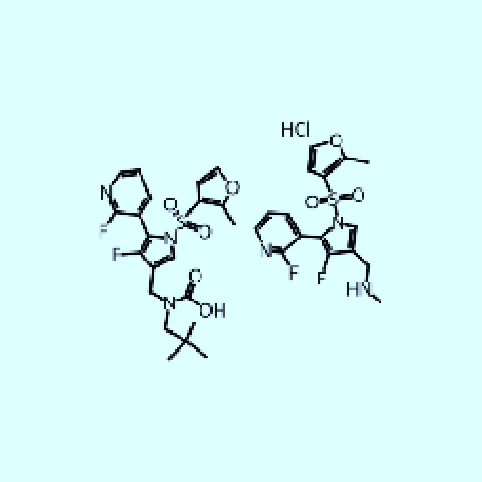 CNCc1cn(S(=O)(=O)c2ccoc2C)c(-c2cccnc2F)c1F.Cc1occc1S(=O)(=O)n1cc(CN(CC(C)(C)C)C(=O)O)c(F)c1-c1cccnc1F.Cl